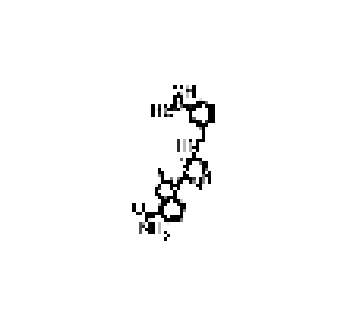 CC1Cc2c(C(N)=O)cccc2N1c1nncc(NCc2cccc(B(O)O)c2)n1